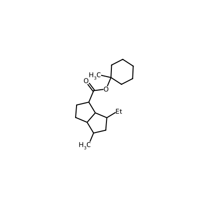 CCC1CC(C)C2CCC(C(=O)OC3(C)CCCCC3)C12